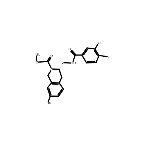 CC(C)(C)OC(=O)N1Cc2cc(O)ccc2C[C@H]1CNC(=O)c1ccc(Cl)c(Cl)c1